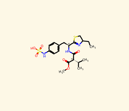 CCC1CSC([C@H](Cc2ccc(NS(=O)(=O)O)cc2)NC(=O)[C@@H](C(=O)OC)C(C)C)=N1